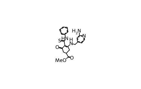 COC(=O)C1CC(=O)C(C(=S)Nc2ccccc2)=C(NCc2ccnc(N)c2)C1